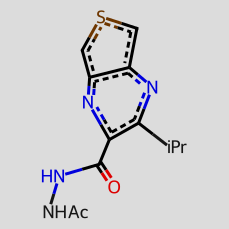 CC(=O)NNC(=O)c1nc2cscc2nc1C(C)C